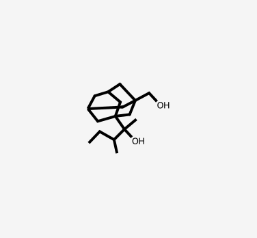 CCC(C)C(C)(O)C12CC3CC(CC(CO)(C3)C1)C2